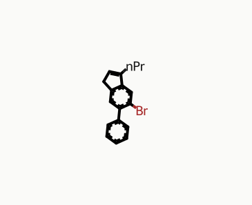 CCCC1=CCc2cc(-c3ccccc3)c(Br)cc21